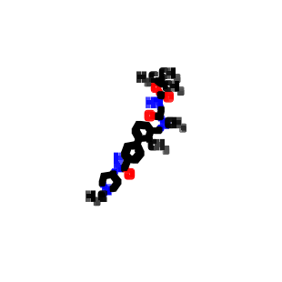 CC1C(c2ccc(C(=O)NC3CCN(C)CC3)cc2)=CC=CC1CN(C)C(=O)CNC(=O)OC(C)(C)C